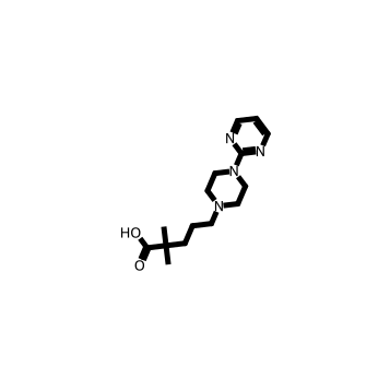 CC(C)(CCCN1CCN(c2ncccn2)CC1)C(=O)O